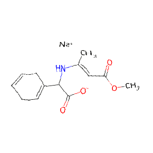 COC(=O)C=C(C)NC(C(=O)[O-])C1=CCC=CC1.[Na+]